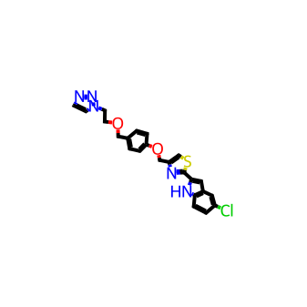 Clc1ccc2[nH]c(-c3nc(COc4ccc(COCCn5ccnn5)cc4)cs3)cc2c1